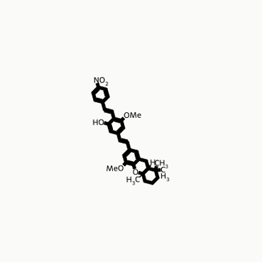 COc1cc(/C=C/c2cc3c(c(OC)c2)O[C@]2(C)CCCC(C)(C)[C@H]2C3)cc(O)c1/C=C/c1ccc([N+](=O)[O-])cc1